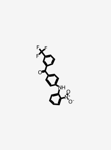 O=C(c1ccc(Nc2ccccc2[N+](=O)[O-])cc1)c1cccc(C(F)(F)F)c1